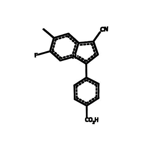 Cc1cc2c(C#N)cc(-c3ccc(C(=O)O)cc3)n2cc1F